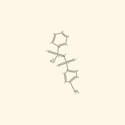 Cc1ccc(S(=O)(=O)N=S(C)(=O)c2ccccc2)cc1